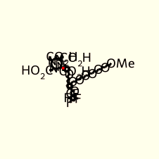 COCCOCCOCCOCCOCCOCCOc1cc(C(=O)Oc2c(F)c(F)cc(F)c2F)ccc1CCCOc1ccc(C[C@H]2CN(CC(=O)O)CCN(CC(=O)O)CCN(CC(=O)O)CCN2CC(=O)O)cc1